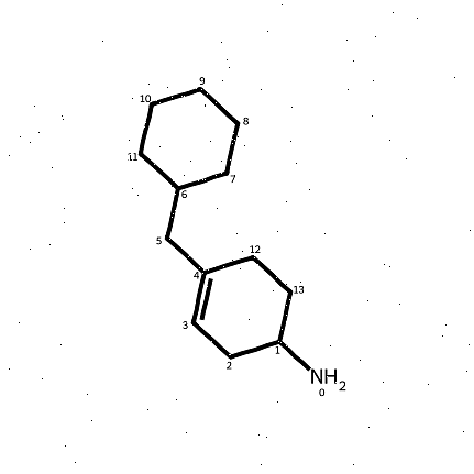 NC1CC=C(CC2CCCCC2)CC1